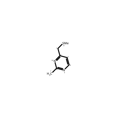 CSCc1ccnc(C)n1